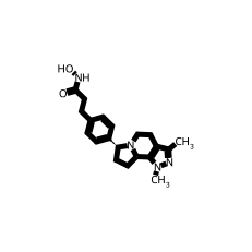 Cc1nn(C)c2c1CCN1C2CC[C@@H]1c1ccc(CCC(=O)NO)cc1